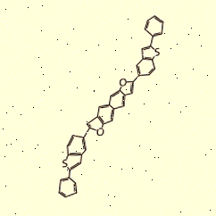 c1ccc(-c2cc3cc(-c4cc5cc6cc7oc(-c8ccc9sc(-c%10ccccc%10)cc9c8)cc7cc6cc5o4)ccc3s2)cc1